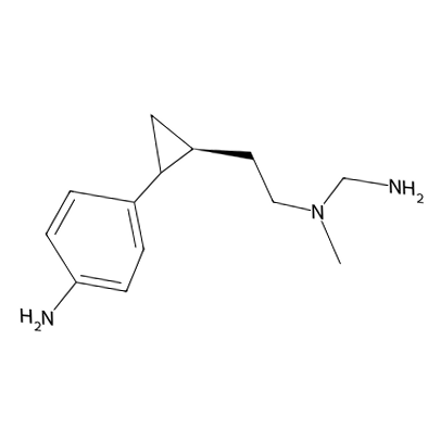 CN(CN)CC[C@@H]1CC1c1ccc(N)cc1